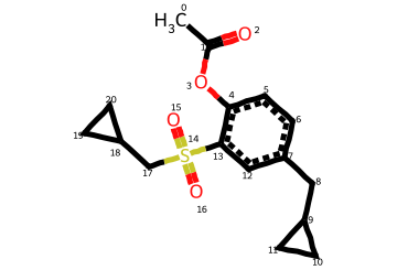 CC(=O)Oc1ccc(CC2CC2)cc1S(=O)(=O)CC1CC1